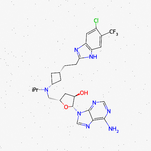 CC(C)N(C[C@@H]1C[C@@H](O)[C@H](n2cnc3c(N)ncnc32)O1)[C@H]1C[C@@H](CCc2nc3cc(Cl)c(C(F)(F)F)cc3[nH]2)C1